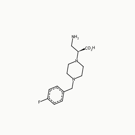 NC[C@@H](C(=O)O)N1CCN(Cc2ccc(F)cc2)CC1